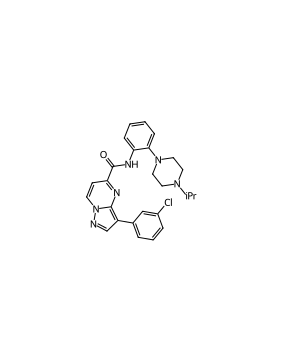 CC(C)N1CCN(c2ccccc2NC(=O)c2ccn3ncc(-c4cccc(Cl)c4)c3n2)CC1